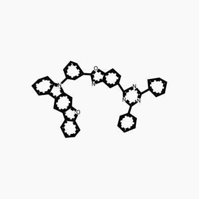 c1ccc(-c2nc(-c3ccccc3)nc(-c3ccc4oc(-c5cccc(-n6c7ccccc7c7cc8c(cc76)oc6ccccc68)c5)nc4c3)n2)cc1